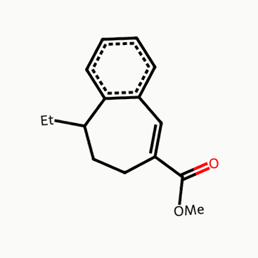 CCC1CCC(C(=O)OC)=Cc2ccccc21